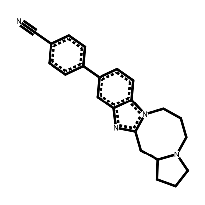 N#Cc1ccc(-c2ccc3c(c2)nc2n3CCCN3CCCC3C2)cc1